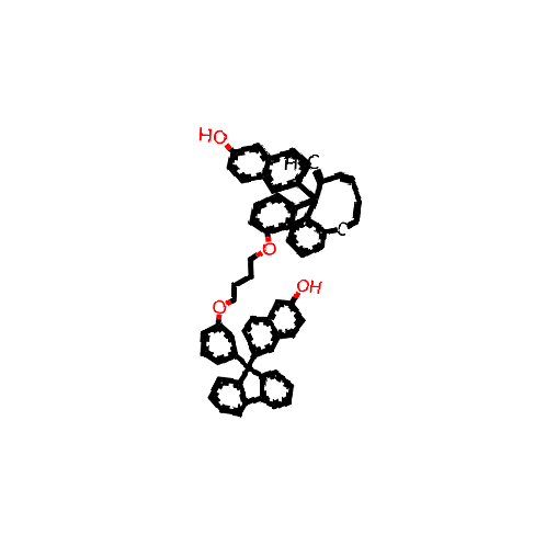 C=C1/C=C\C=C/Cc2ccccc2C1(c1cccc(OCCCCOc2cccc(C3(c4ccc5cc(O)ccc5c4)c4ccccc4-c4ccccc43)c2)c1)c1ccc2cc(O)ccc2c1